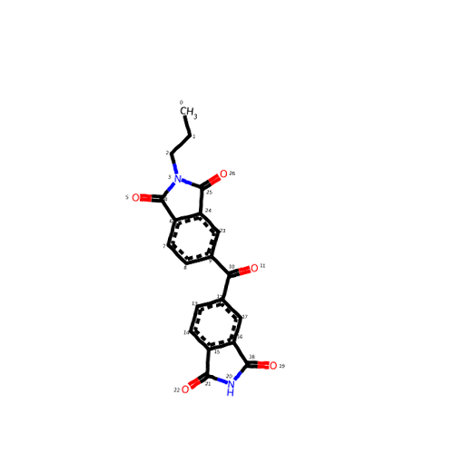 CCCN1C(=O)c2ccc(C(=O)c3ccc4c(c3)C(=O)NC4=O)cc2C1=O